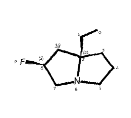 CC[C@@]12CCCN1C[C@@H](F)C2